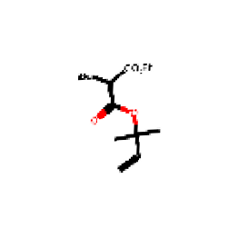 C=CC(C)(C)OC(=O)C(C(=O)OCC)C(C)CC